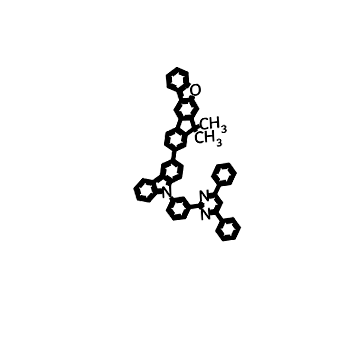 CC1(C)c2cc(-c3ccc4c(c3)c3ccccc3n4-c3cccc(-c4nc(-c5ccccc5)cc(-c5ccccc5)n4)c3)ccc2-c2cc3c(cc21)oc1ccccc13